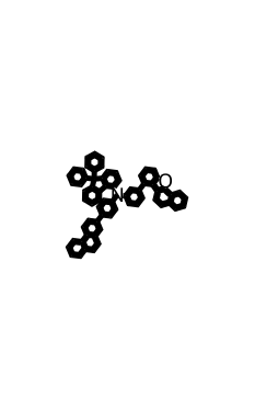 c1ccc(C2(c3ccccc3)c3ccccc3-c3c(N(c4ccc(-c5ccc6c(ccc7ccccc76)c5)cc4)c4cccc(-c5cccc6oc7c8ccccc8ccc7c56)c4)cccc32)cc1